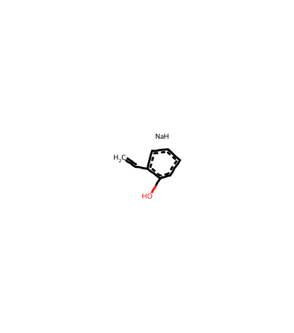 C=Cc1ccccc1O.[NaH]